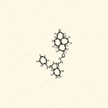 c1ccc(CN2CN(CCOc3cc4ccc5cccc6ccc(c3)c4c56)c3ccccc32)cc1